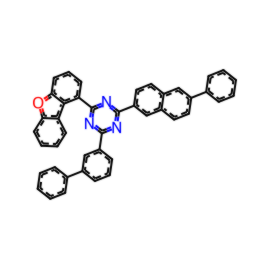 c1ccc(-c2cccc(-c3nc(-c4ccc5cc(-c6ccccc6)ccc5c4)nc(-c4cccc5oc6ccccc6c45)n3)c2)cc1